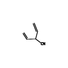 C=CC(C#N)C=C